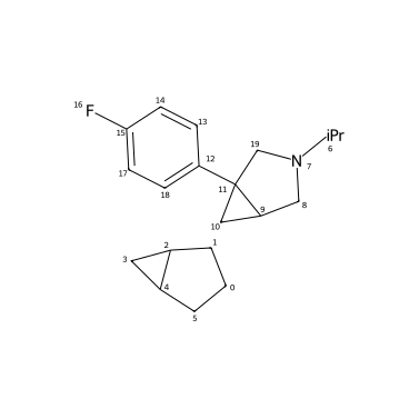 C1CC2CC2C1.CC(C)N1CC2CC2(c2ccc(F)cc2)C1